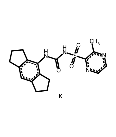 Cc1nccnc1S(=O)(=O)NC(=O)Nc1c2c(cc3c1CCC3)CCC2.[K]